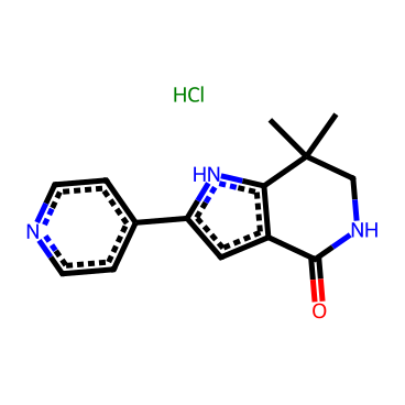 CC1(C)CNC(=O)c2cc(-c3ccncc3)[nH]c21.Cl